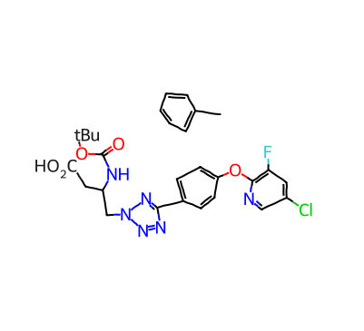 CC(C)(C)OC(=O)NC(CC(=O)O)Cn1nnc(-c2ccc(Oc3ncc(Cl)cc3F)cc2)n1.Cc1ccccc1